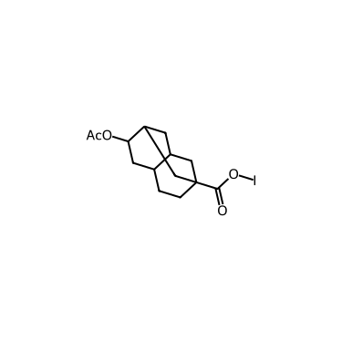 CC(=O)OC1CC2CCC3(C(=O)OI)CC2CC1C3